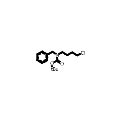 CC(C)(C)OC(=O)N(CCCCCl)Cc1ccccc1